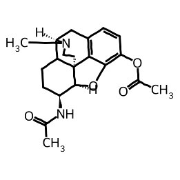 CC(=O)N[C@H]1CCC2[C@H]3Cc4ccc(OC(C)=O)c5c4[C@@]2(CCN3C)[C@H]1O5